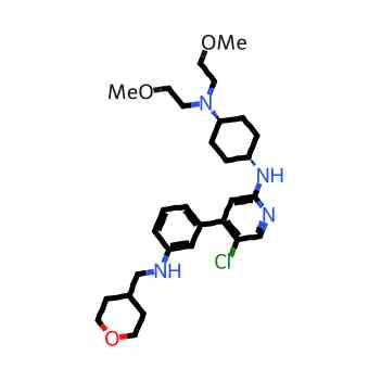 COCCN(CCOC)[C@H]1CC[C@H](Nc2cc(-c3cccc(NCC4CCOCC4)c3)c(Cl)cn2)CC1